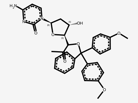 COc1ccc(C(OC(C(C)=O)[C@H]2O[C@@H](n3ccc(N)nc3=O)C[C@@H]2O)(c2ccccc2)c2ccc(OC)cc2)cc1